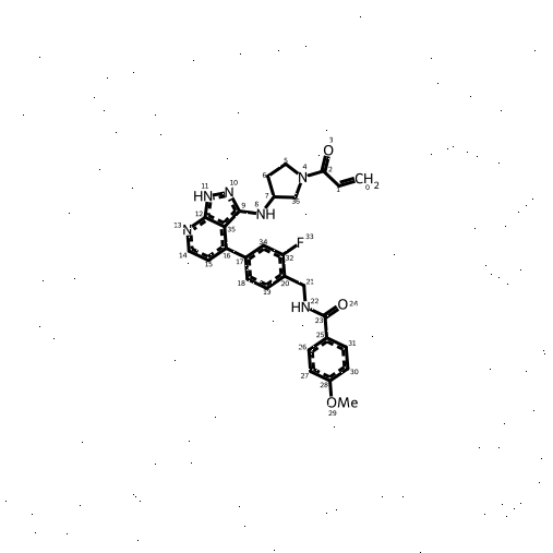 C=CC(=O)N1CCC(Nc2n[nH]c3nccc(-c4ccc(CNC(=O)c5ccc(OC)cc5)c(F)c4)c23)C1